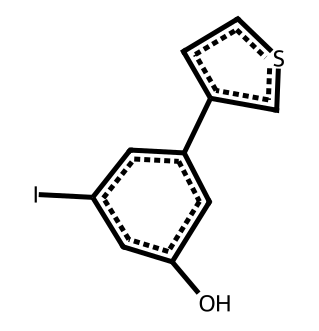 Oc1cc(I)cc(-c2ccsc2)c1